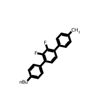 CCCCc1ccc(-c2ccc(-c3ccc(C)cc3)c(F)c2F)cc1